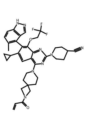 C=CC(=O)N1CC2(CCN(c3nc(N4CCC(C#N)CC4)nc4c(OCC(F)(F)F)c(-c5c(C)ccc6[nH]ncc56)c(C5CC5)cc34)CC2)C1